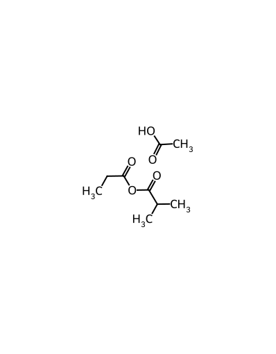 CC(=O)O.CCC(=O)OC(=O)C(C)C